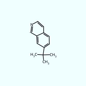 CC(C)(C)c1ccc2ccn[c]c2c1